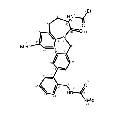 CCC(=O)N[C@@H]1CCc2cc(OC)ccc2N(Cc2ccc(-c3ccccc3CNC(=O)NC)cc2)C1=O